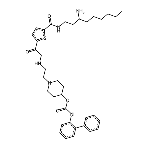 CCCCCCC(N)CCNC(=O)c1ccc(C(=O)CNCCN2CCC(OC(=O)Nc3ccccc3-c3ccccc3)CC2)s1